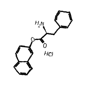 Cl.N[C@@H](Cc1ccccc1)C(=O)Oc1ccc2ccccc2c1